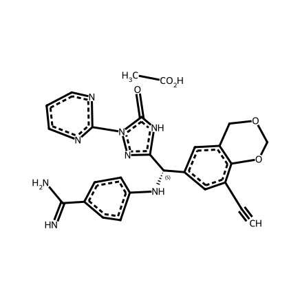 C#Cc1cc([C@H](Nc2ccc(C(=N)N)cc2)c2nn(-c3ncccn3)c(=O)[nH]2)cc2c1OCOC2.CC(=O)O